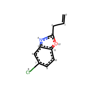 C=CCc1nc2cc(Cl)ccc2o1